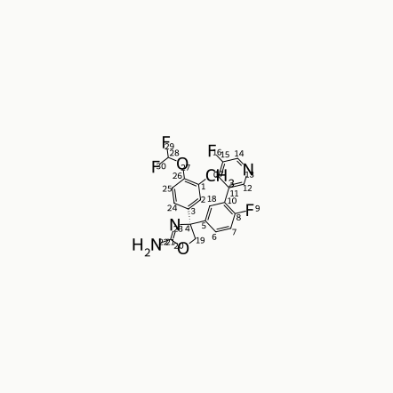 Cc1cc([C@]2(c3ccc(F)c(-c4cncc(F)c4)c3)COC(N)=N2)ccc1OC(F)F